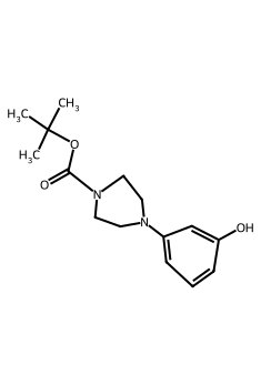 CC(C)(C)OC(=O)N1CCN(c2cccc(O)c2)CC1